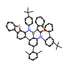 Cc1cccc(C)c1-c1cc2c3c(c1)N(c1ccc(C(C)(C)C)cc1-c1ccccc1)c1sc4ccccc4c1B3N(c1ccc(C(C)(C)C)cc1)c1c-2ccc2c1sc1ccccc12